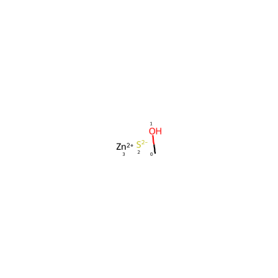 CO.[S-2].[Zn+2]